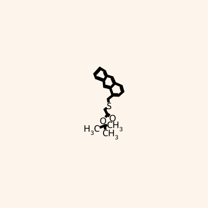 CC(C)(C)OC(=O)CSCc1cccc2cc3ccccc3cc12